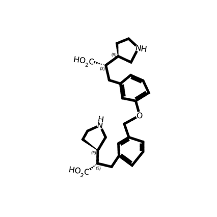 O=C(O)[C@@H](Cc1cccc(COc2cccc(C[C@H](C(=O)O)[C@H]3CCNC3)c2)c1)[C@H]1CCNC1